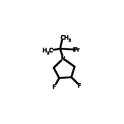 CC(C)C(C)(C)N1CC(F)C(F)C1